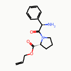 C=CCOC(=O)[C@H]1CCCN1C(=O)[C@H](N)c1ccccc1